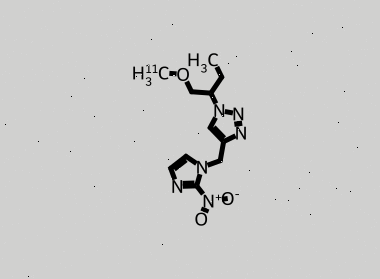 CCC(CO[11CH3])n1cc(Cn2ccnc2[N+](=O)[O-])nn1